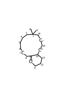 CC1(C)CCCCCCC2OCCCC2CCCC1